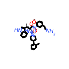 COc1ccc(CCN)cc1NC(=O)[C@H](NC(=O)N1CCC(c2ccccc2C)CC1)[C@H](C)c1c[nH]c2ccccc12